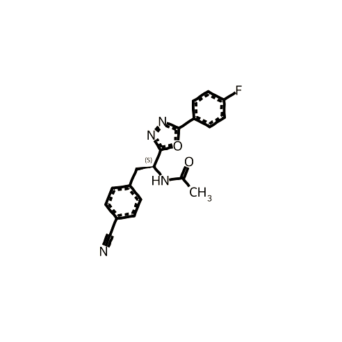 CC(=O)N[C@@H](Cc1ccc(C#N)cc1)c1nnc(-c2ccc(F)cc2)o1